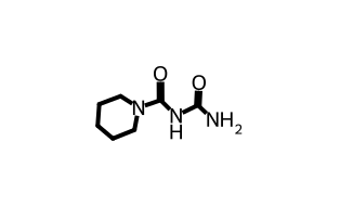 NC(=O)NC(=O)N1CCCCC1